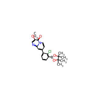 COc1cnc2cc(-c3cccc(B4OC(C)(C)C(C)(C)O4)c3Cl)ccn2c1=O